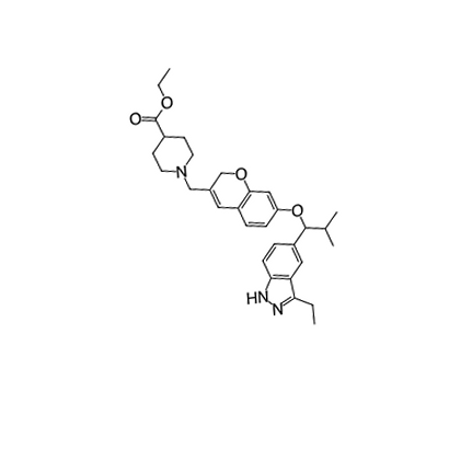 CCOC(=O)C1CCN(CC2=Cc3ccc(OC(c4ccc5[nH]nc(CC)c5c4)C(C)C)cc3OC2)CC1